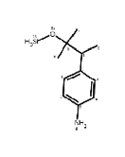 CC(c1ccc(N)cc1)C(C)(C)O[SiH3]